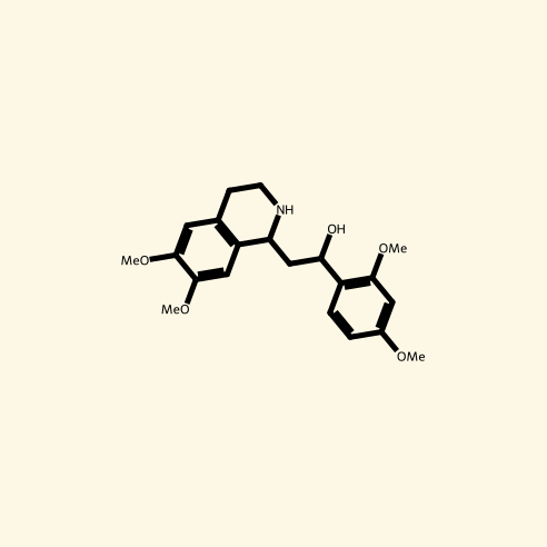 COc1ccc(C(O)CC2NCCc3cc(OC)c(OC)cc32)c(OC)c1